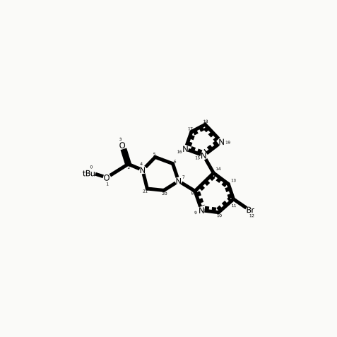 CC(C)(C)OC(=O)N1CCN(c2ncc(Br)cc2-n2nccn2)CC1